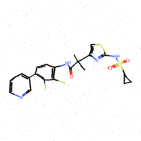 CC(C)(C(=O)Nc1ccc(-c2cccnc2)c(F)c1F)c1csc(NS(=O)(=O)C2CC2)n1